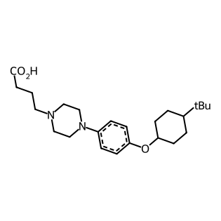 CC(C)(C)C1CCC(Oc2ccc(N3CCN(CCCC(=O)O)CC3)cc2)CC1